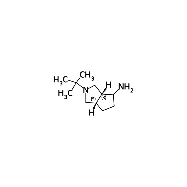 CC(C)(C)N1C[C@H]2CCC(N)[C@H]2C1